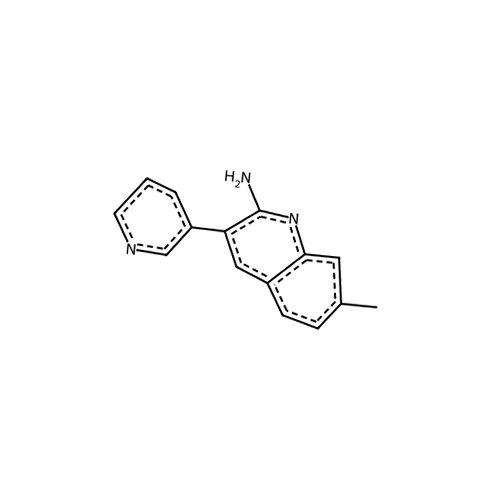 Cc1ccc2cc(-c3cccnc3)c(N)nc2c1